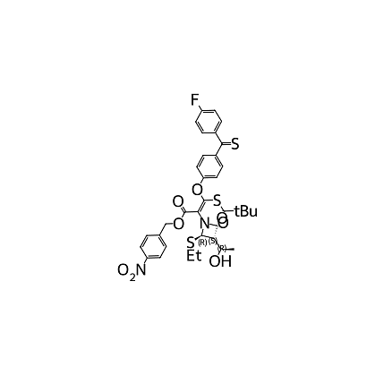 CCS[C@@H]1[C@@H]([C@@H](C)O)C(=O)N1C(C(=O)OCc1ccc([N+](=O)[O-])cc1)=C(Oc1ccc(C(=S)c2ccc(F)cc2)cc1)SC(=O)C(C)(C)C